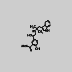 CNC(=O)c1cc(C(O)CNC(C)(C)Cc2c[nH]c3ccccc23)ccc1O